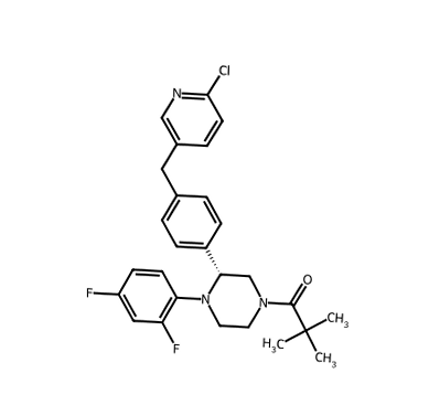 CC(C)(C)C(=O)N1CCN(c2ccc(F)cc2F)[C@H](c2ccc(Cc3ccc(Cl)nc3)cc2)C1